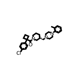 Cc1ccccc1N1CCN(C[C@@H]2CCCN(C(=O)C3(c4ccc(Cl)cc4)CCC3)C2)CC1